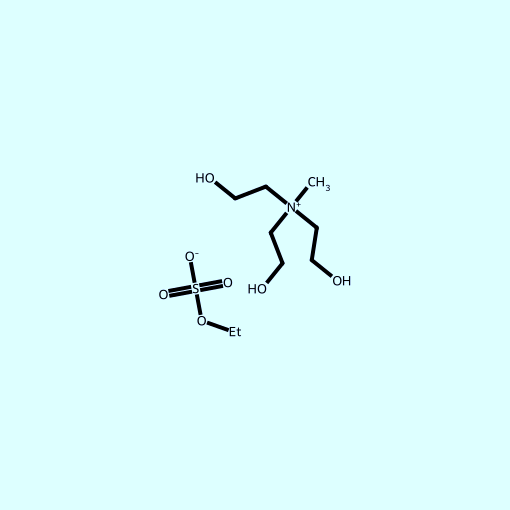 CCOS(=O)(=O)[O-].C[N+](CCO)(CCO)CCO